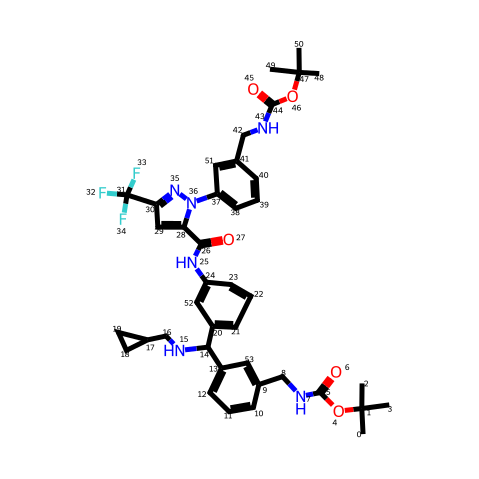 CC(C)(C)OC(=O)NCc1cccc(C(NCC2CC2)c2cccc(NC(=O)c3cc(C(F)(F)F)nn3-c3cccc(CNC(=O)OC(C)(C)C)c3)c2)c1